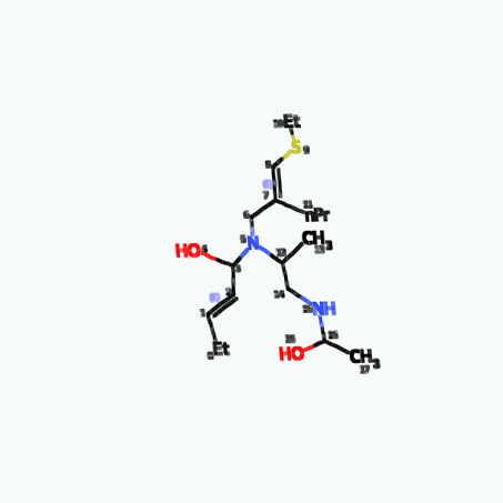 CC/C=C/C(O)N(C/C(=C/SCC)CCC)C(C)CNC(C)O